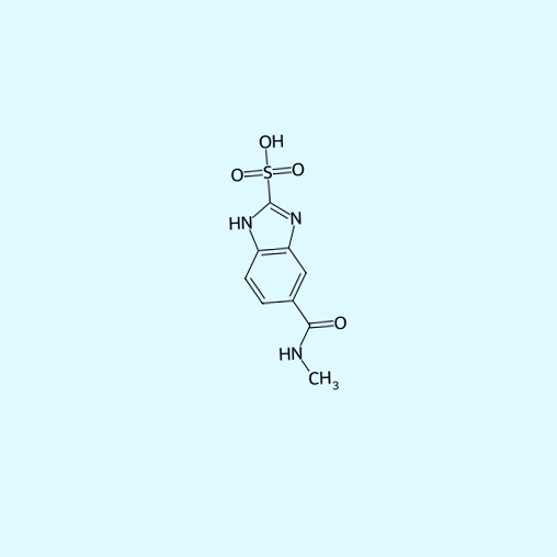 CNC(=O)c1ccc2[nH]c(S(=O)(=O)O)nc2c1